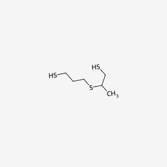 CC(CS)SCCCS